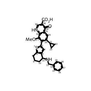 COc1c(-c2cc3c(s2)CCCC3NCc2ccccc2)c(C2CC2)cc2c(=O)c(C(=O)O)c[nH]c12